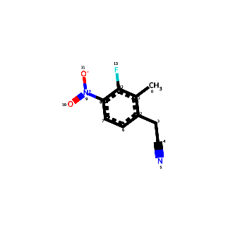 Cc1c(CC#N)ccc([N+](=O)[O-])c1F